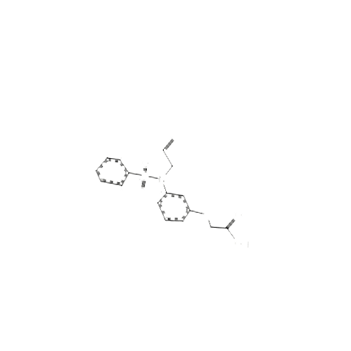 C=CCN(c1cccc(OCC(=O)O)c1)S(=O)(=O)c1ccccc1